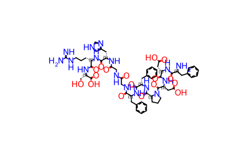 N=C(N)NCCC[C@H](NC(=O)[C@H](Cc1c[nH]cn1)NC(=O)CNC(=O)CNC(=O)[C@H](Cc1ccccc1)NC(=O)[C@H](Cc1ccccc1)NC(=O)[C@@H]1CCCN1C(=O)[C@H](CC(=O)O)NC(=O)[C@H](CC(=O)O)NC(=O)[C@@H](N)Cc1ccccc1)C(=O)N[C@@H](CO)C(=O)O